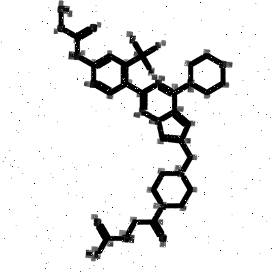 COC(=O)Nc1cc(C(F)(F)F)c(-c2nc(N3CCOCC3)c3cc(CN4CCN(C(=O)CNC(C)=O)CC4)cn3n2)cn1